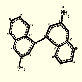 Nc1cc(-c2cc(N)cc3ccccc23)c2ccccc2c1